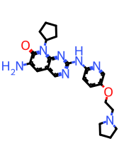 Nc1cc2cnc(Nc3ccc(OCCN4CCCC4)cn3)nc2n(C2CCCC2)c1=O